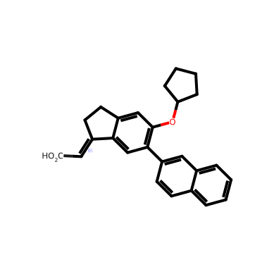 O=C(O)/C=C1\CCc2cc(OC3CCCC3)c(-c3ccc4ccccc4c3)cc21